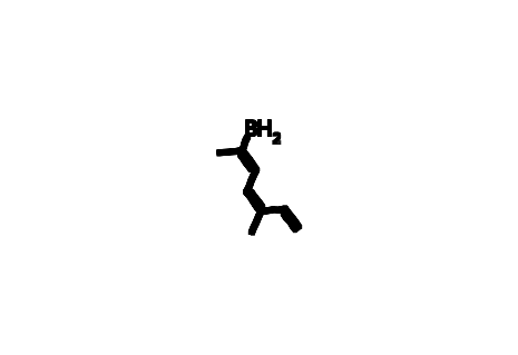 B/C(C)=C/C=C(/C)C=C